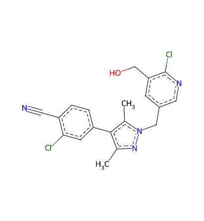 Cc1nn(Cc2cnc(Cl)c(CO)c2)c(C)c1-c1ccc(C#N)c(Cl)c1